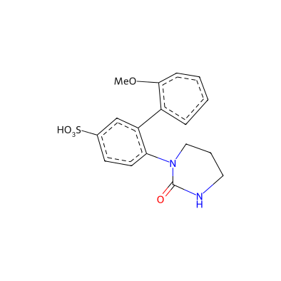 COc1ccccc1-c1cc(S(=O)(=O)O)ccc1N1CCCNC1=O